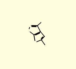 Cc1cc2c(C)n[nH]c2s1